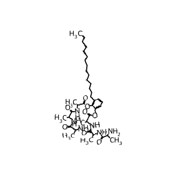 CCCCCCCCCCCCCCCc1cccc(OC(=O)C(C)NC(=O)C(C)NC(=O)C(C)N)c1OC(=O)C(C)NC(=O)C(C)NC(=O)C(C)N